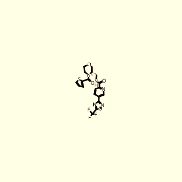 O=C(NC[C@H]1COCCN1C(=O)c1cccs1)c1ccc(-c2noc(C(F)(F)F)n2)cn1